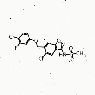 CS(=O)(=O)Nc1noc2cc(COc3ccc(Cl)c(F)c3)c(Cl)cc12